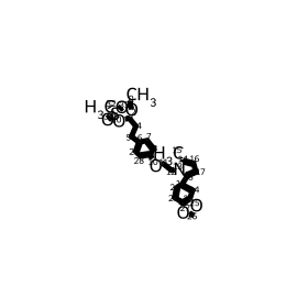 CCOC(CCc1ccc(OCCn2c(C)ccc2-c2ccc3c(c2)OCO3)cc1)OS(C)(=O)=O